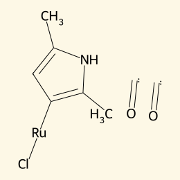 Cc1c[c]([Ru][Cl])c(C)[nH]1.[C]=O.[C]=O